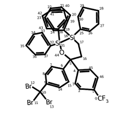 FC(F)(F)c1ccc(C2(c3ccc(C(Br)(Br)Br)cc3)CC[Si](c3ccccc3)(c3ccccc3)[Si](c3ccccc3)(c3ccccc3)O2)cc1